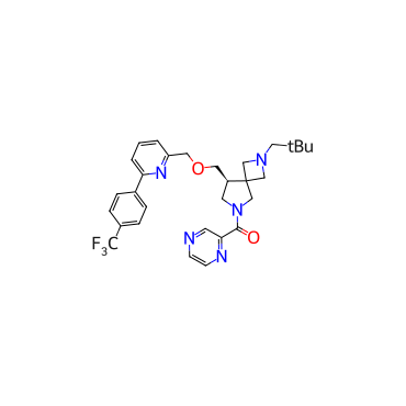 CC(C)(C)CN1CC2(C1)CN(C(=O)c1cnccn1)C[C@H]2COCc1cccc(-c2ccc(C(F)(F)F)cc2)n1